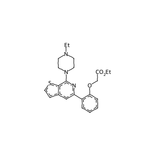 CCOC(=O)COc1ccccc1-c1cc2ccsc2c(N2CCN(CC)CC2)n1